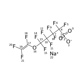 O=S(=O)([O-])C(F)(F)C(F)(F)C(F)(F)C(F)(F)OC(F)=C(F)F.[Na+]